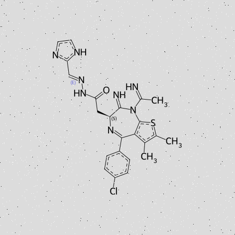 CC(=N)N1C(=N)[C@H](CC(=O)N/N=C/c2ncc[nH]2)N=C(c2ccc(Cl)cc2)c2c1sc(C)c2C